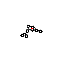 c1ccc2c(-c3ccc(N(c4ccc(-c5ccc(-c6ccccc6)cc5)cc4)c4ccccc4-c4ccccc4)cc3)cc3ccccc3c2c#1